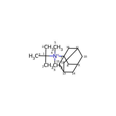 CC(C)(C)[N+](C)(C)C12CC3CC(CC(C3)C1)C2